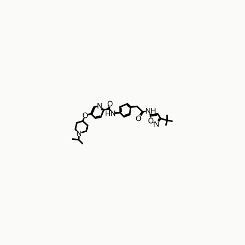 CC(C)N1CCC(Oc2ccc(C(=O)Nc3ccc(CC(=O)Nc4cc(C(C)(C)C)no4)cc3)nc2)CC1